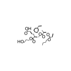 C=C(C)C(=O)OC.C=C(CC=CC(=O)O)C(=O)OCCCO.C=CC(=O)OCCCC.C=Cc1ccccc1